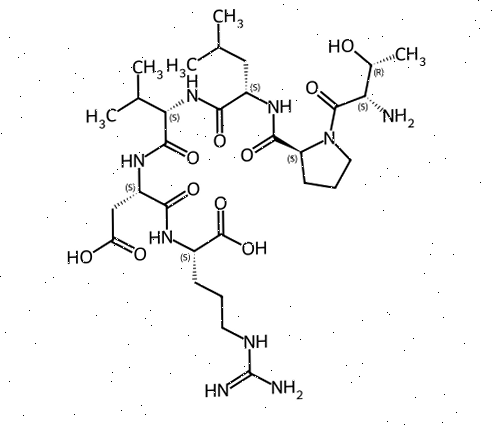 CC(C)C[C@H](NC(=O)[C@@H]1CCCN1C(=O)[C@@H](N)[C@@H](C)O)C(=O)N[C@H](C(=O)N[C@@H](CC(=O)O)C(=O)N[C@@H](CCCNC(=N)N)C(=O)O)C(C)C